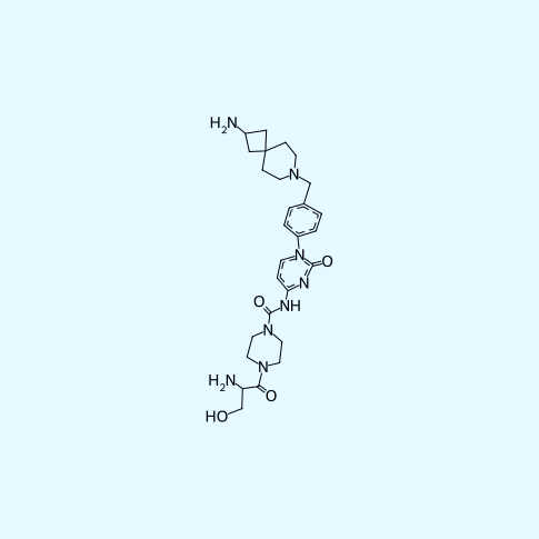 NC1CC2(CCN(Cc3ccc(-n4ccc(NC(=O)N5CCN(C(=O)C(N)CO)CC5)nc4=O)cc3)CC2)C1